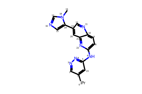 CC(C)c1cnnc(Nc2ccc3ncc(-c4cncn4C)cc3n2)c1